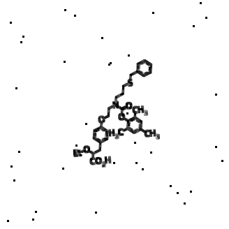 CCOC(Cc1ccc(OCCN(CCCSCc2ccccc2)C(=O)Oc2c(C)cc(C)cc2C)cc1)C(=O)O